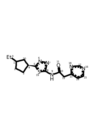 CCC1CC[C@H](c2nnc(NC(=O)Cc3ccncn3)s2)C1